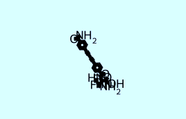 CC(N)(C(F)F)C(NC(=O)c1ccc(C#CC#Cc2ccc(C(N)=O)cc2)cc1)C(=O)NO